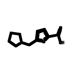 O=C(O)c1ccc(CN2CCCC2)o1